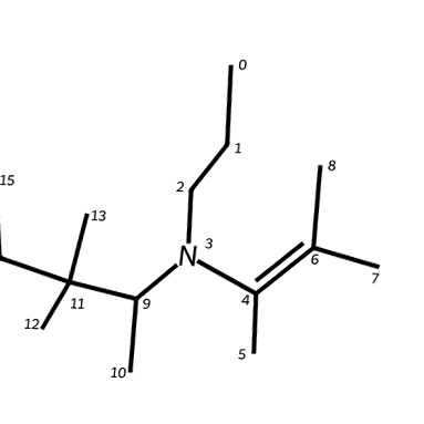 CCCN(C(C)=C(C)C)C(C)C(C)(C)CC